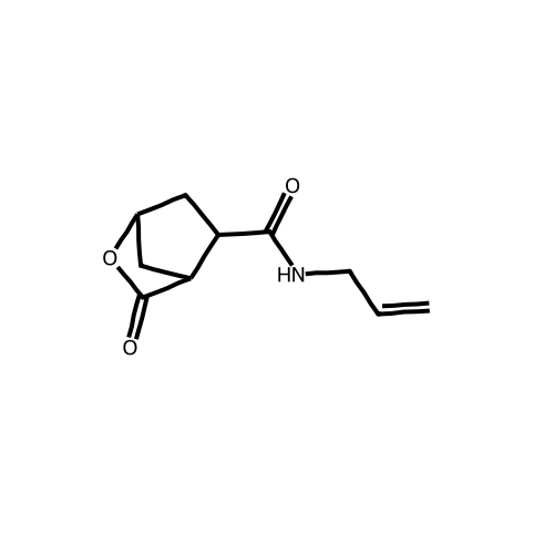 C=CCNC(=O)C1CC2CC1C(=O)O2